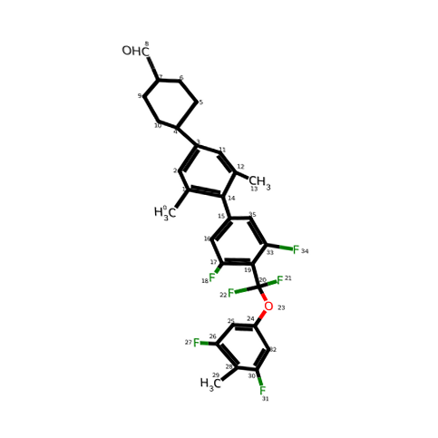 Cc1cc(C2CCC(C=O)CC2)cc(C)c1-c1cc(F)c(C(F)(F)Oc2cc(F)c(C)c(F)c2)c(F)c1